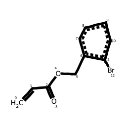 C=CC(=O)OCc1ccccc1Br